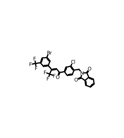 O=C(C=C(c1cc(Br)cc(C(F)(F)F)c1)C(F)(F)F)c1ccc(CN2C(=O)c3ccccc3C2=O)c(Cl)c1